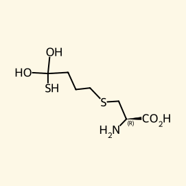 N[C@@H](CSCCCC(O)(O)S)C(=O)O